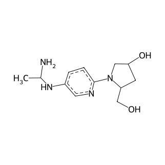 CC(N)Nc1ccc(N2CC(O)CC2CO)nc1